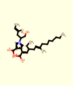 C/C=C(\C)CC(CO)n1cc(/C(=C\C(CC)C/C=C(\C)CCCCCCC)C(O)O)c(C(O)O)c1